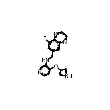 Fc1cc(CNc2cnccc2OC2CNC2)cc2nccnc12